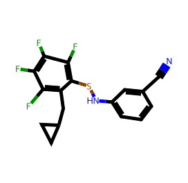 N#Cc1cccc(NSc2c(F)c(F)c(F)c(F)c2CC2CC2)c1